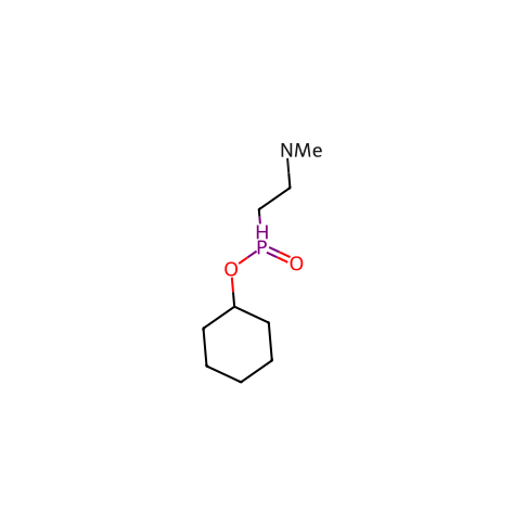 CNCC[PH](=O)OC1CCCCC1